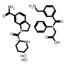 Cl.Cl.NC(=O)c1ccc2c(c1)N(C(=O)[C@@H]1CCCCN1)CC2.NCc1cccc(C(=O)N(CC(=O)O)c2ccccc2)c1